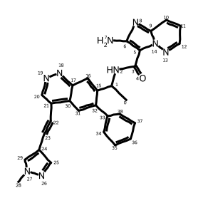 CC(NC(=O)c1c(N)nc2cccnn12)c1cc2nncc(C#Cc3cnn(C)c3)c2cc1-c1ccccc1